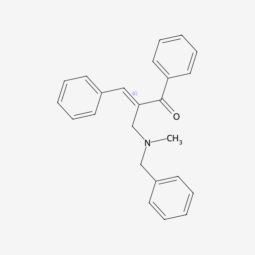 CN(C/C(=C\c1ccccc1)C(=O)c1ccccc1)Cc1ccccc1